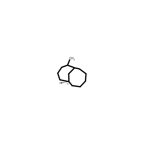 CC1CCC[C@@H]2CCCCCC1C2